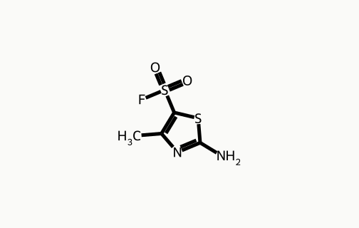 Cc1nc(N)sc1S(=O)(=O)F